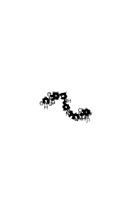 C[C@@H](Oc1cc(-c2cnn(C3CCC(CN[C@@H]4CCCN(c5ccc6c(c5)C(=O)N(C5CCC(=O)NC5=O)C6=O)C4)CC3)c2)cnc1N)c1c(Cl)ccc(F)c1Cl